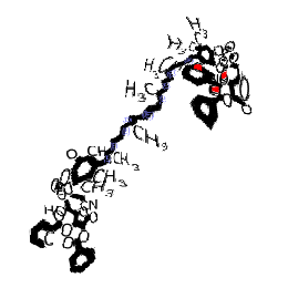 CC1=C(/C=C/C(C)=C/C=C/C(C)=C/C=C/C=C(C)/C=C/C=C(C)/C=C/C2=C(C)C(=O)C(OP(=O)(OCCC#N)OC[C@H](O)[C@H]3OC(=O)C(OC(=O)c4ccccc4)=C3OC(=O)c3ccccc3)CC2(C)C)C(C)(C)CC(OP(=O)(OCCC#N)OCC[C@H]2OC(=O)C(OC(=O)c3ccccc3)=C2OC(=O)c2ccccc2)C1=O